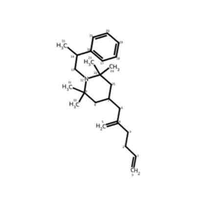 C=CCCC(=C)CC1CC(C)(C)N(CC(C)c2ccccc2)C(C)(C)C1